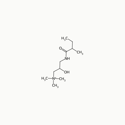 CCC(C)C(=O)NCC(O)C[N+](C)(C)C